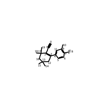 C#CC1=C(c2ccc(F)c(C)c2)CC(C)(C)CC1(C)C